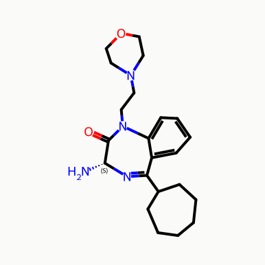 N[C@H]1N=C(C2CCCCCC2)c2ccccc2N(CCN2CCOCC2)C1=O